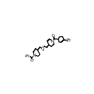 CC(C)C(=O)N1CCC(COCCC2CCN(C(=O)C3CC=C(C(C)C)CC3)CC2)CC1